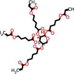 C=CC(=O)OCCCCC(=O)OC1OC[C@@H](OC(=O)CCCCOC(=O)C=C)[C@H](OC(=O)CCCCOC(=O)C=C)[C@H]1OC(O)CCCCOC(=O)C=C